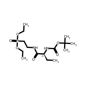 CCOP(=O)(CCNC(=O)[C@H](CC)NC(=O)OC(C)(C)C)OCC